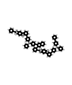 c1ccc(-c2ccc(N(c3ccccc3)c3ccc(-c4cccc5c4oc4cc6oc(-c7ccccc7-c7cc8ccccc8cc7-c7ccc(N(c8ccccc8)c8ccc(-c9cccc%10c9oc9cc%11oc(-c%12ccccc%12)nc%11cc9%10)cc8)cc7)nc6cc45)cc3)cc2)cc1